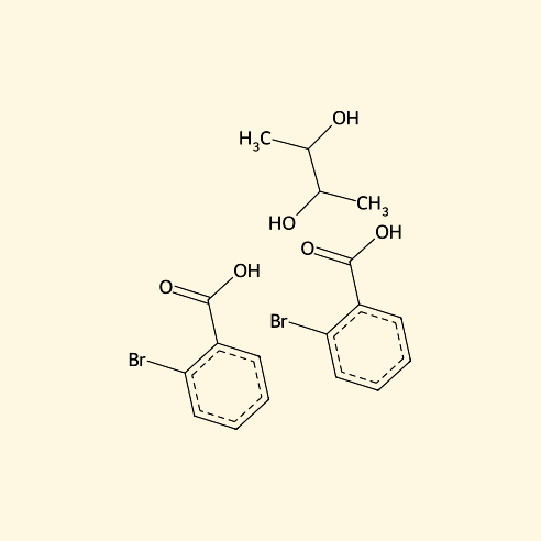 CC(O)C(C)O.O=C(O)c1ccccc1Br.O=C(O)c1ccccc1Br